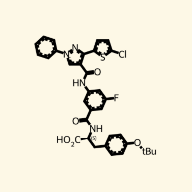 CC(C)(C)Oc1ccc(C[C@H](NC(=O)c2cc(F)cc(NC(=O)c3cn(-c4ccccc4)nc3-c3ccc(Cl)s3)c2)C(=O)O)cc1